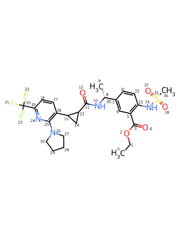 CCOC(=O)c1cc([C@@H](C)NC(=O)C2CC2c2ccc(C(F)(F)F)nc2N2CCCC2)ccc1NS(C)(=O)=O